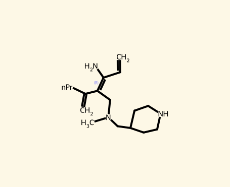 C=C/C(N)=C(\CN(C)CC1CCNCC1)C(=C)CCC